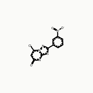 O=c1cc(Cl)n2nc(-c3cccc([N+](=O)[O-])c3)sc2n1